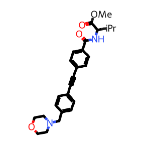 COC(=O)C(NC(=O)c1ccc(C#Cc2ccc(CN3CCOCC3)cc2)cc1)C(C)C